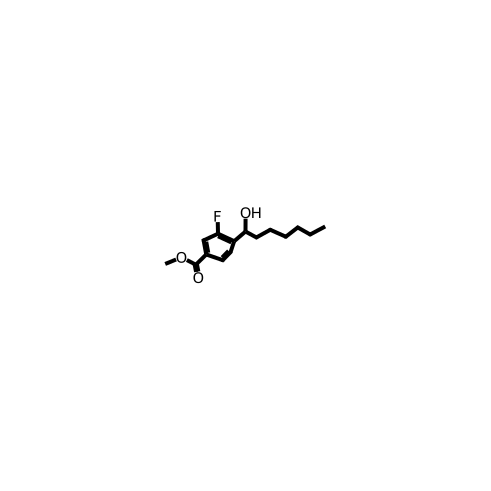 CCCCCCC(O)c1ccc(C(=O)OC)cc1F